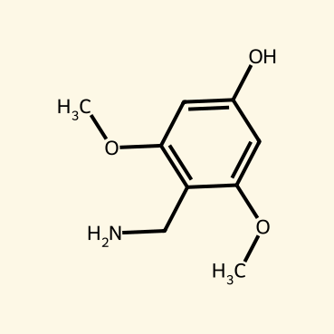 COc1cc(O)cc(OC)c1CN